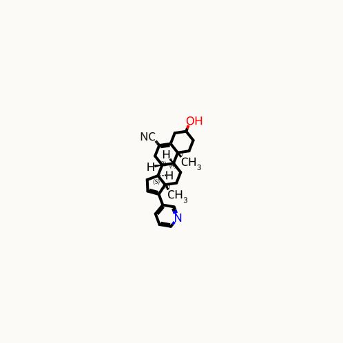 C[C@]12CCC(O)CC1=C(C#N)C[C@@H]1[C@H]2CC[C@]2(C)C(c3cccnc3)=CC[C@@H]12